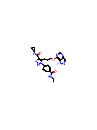 CCNC(=O)c1ccc(-n2nnc(C(=O)NC3CC3)c2CCCOc2ncnc3cn[nH]c23)cc1